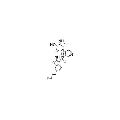 C[C@H]1CN(c2ccncc2NC(=O)c2c(N)oc3cc(CCCF)cnc23)C[C@@H](N)C1O